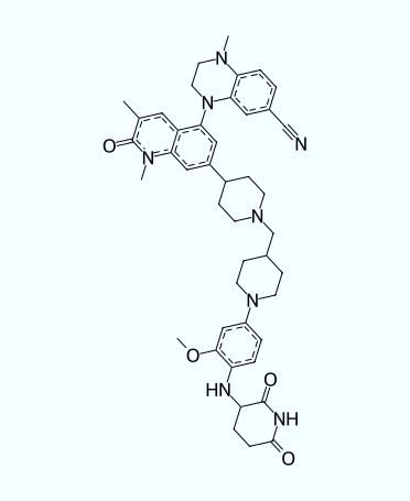 COc1cc(N2CCC(CN3CCC(c4cc(N5CCN(C)c6ccc(C#N)cc65)c5cc(C)c(=O)n(C)c5c4)CC3)CC2)ccc1NC1CCC(=O)NC1=O